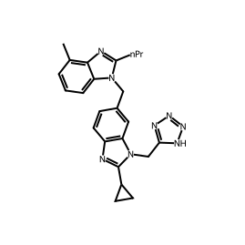 CCCc1nc2c(C)cccc2n1Cc1ccc2nc(C3CC3)n(Cc3nnn[nH]3)c2c1